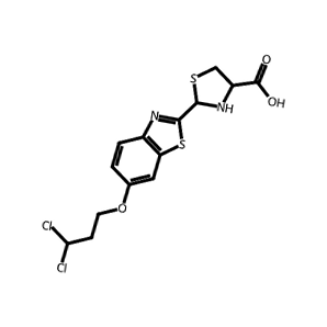 O=C(O)C1CSC(c2nc3ccc(OCCC(Cl)Cl)cc3s2)N1